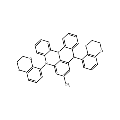 Cc1cc2c3c(c1)N(c1cccc4c1OCCO4)c1ccccc1B3c1ccccc1N2c1cccc2c1OCCO2